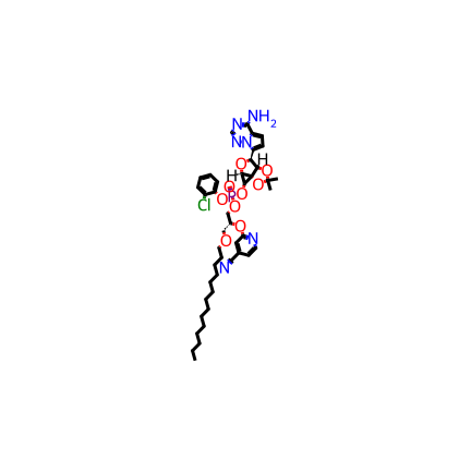 CCCCCCCCCCCCCCOC[C@H](COP(=O)(Oc1ccccc1Cl)OC1[C@H]2O[C@@H](c3ccc4c(N)ncnn34)[C@@H]3OC(C)(C)O[C@]123)Oc1cc(C#N)ccn1